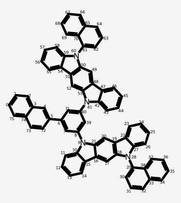 c1ccc2cc(-c3cc(-n4c5ccccc5c5cc6c(cc54)c4ccccc4n6-c4cccc5ccccc45)cc(-n4c5ccccc5c5cc6c(cc54)c4ccccc4n6-c4cccc5ccccc45)c3)ccc2c1